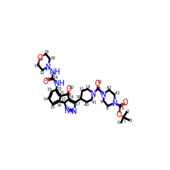 CC(C)(C)OC(=O)N1CCN(C(=O)N2CCC(C3=C4C(=O)c5c(NC(=O)NN6CCOCC6)cccc5C4N=N3)CC2)CC1